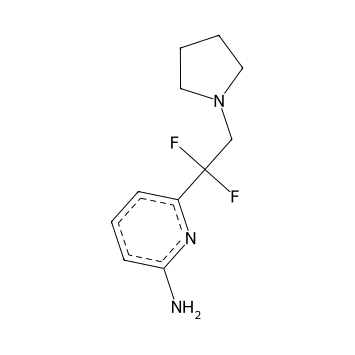 Nc1cccc(C(F)(F)CN2CCCC2)n1